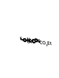 CCOC(=O)COc1ccc2c(c1)CCN(Cc1oc(-c3ccc(CF)cc3)nc1C)CC2